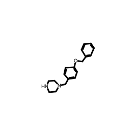 c1ccc(COc2ccc(CN3CCNCC3)cc2)cc1